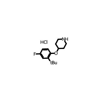 CC(C)(C)c1cc(F)ccc1OC1CCNCC1.Cl